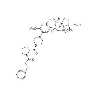 C#C[C@@]1(O)CC[C@H]2[C@@H]3CCc4cc(OC)c(N5CCN(C(=O)[C@@H]6CCCN6C(=O)CSc6ccccc6)CC5)cc4[C@H]3CC[C@@]21C